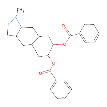 CN1CCC2CC3CC(OC(=O)c4ccccc4)C(OC(=O)c4ccccc4)CC3CC21